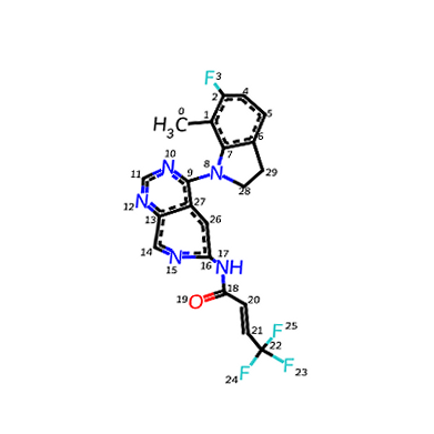 Cc1c(F)ccc2c1N(c1ncnc3cnc(NC(=O)C=CC(F)(F)F)cc13)CC2